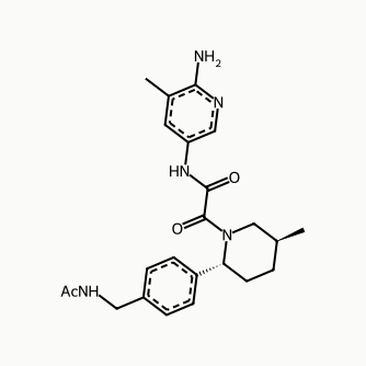 CC(=O)NCc1ccc([C@H]2CC[C@H](C)CN2C(=O)C(=O)Nc2cnc(N)c(C)c2)cc1